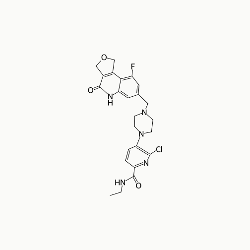 CCNC(=O)c1ccc(N2CCN(Cc3cc(F)c4c5c(c(=O)[nH]c4c3)COC5)CC2)c(Cl)n1